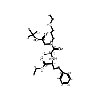 CCOCCCN(CC(=O)OC(C)(C)C)C(=O)[C@H](C)NC(CCc1ccccc1)C(=O)OCC